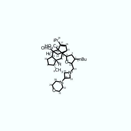 CCCCC1CC(C23C[C@@H]4[C@H](C)CC[C@H]4C4(C=O)CC2C=C(C(C)C)C34C(=O)O)OC1CN1CC(N2CCOCC2)C1